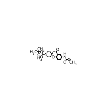 COC(=O)Nc1ccc2c(c1)C(=O)CC1(CCN(C(=O)OC(C)(C)C)CC1)O2